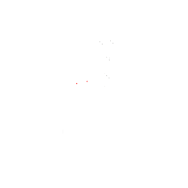 FC(F)(F)c1cc(COC2CCC3C(n4cnnc4)CC2(c2ccccc2)N3Cc2ccccc2)cc(C(F)(F)F)c1